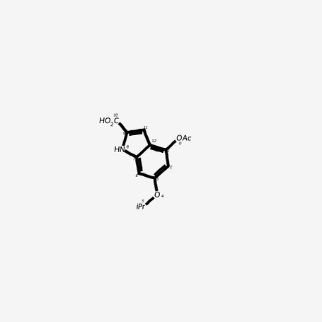 CC(=O)Oc1cc(OC(C)C)cc2[nH]c(C(=O)O)cc12